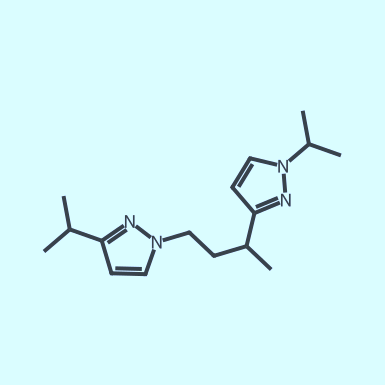 CC(C)c1ccn(CCC(C)c2ccn(C(C)C)n2)n1